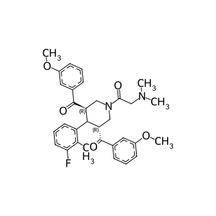 COc1cccc(C(=O)[C@H]2CN(C(=O)CN(C)C)C[C@H](C(=O)c3cccc(OC)c3)C2c2cccc(F)c2C)c1